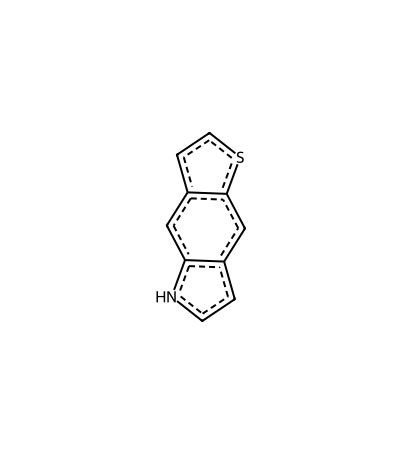 c1cc2cc3sccc3cc2[nH]1